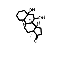 C[C@]12CC[C@@H]3[C@@H](C(O)CC4(O)CCCC[C@]34C)[C@@H]1CCC2=O